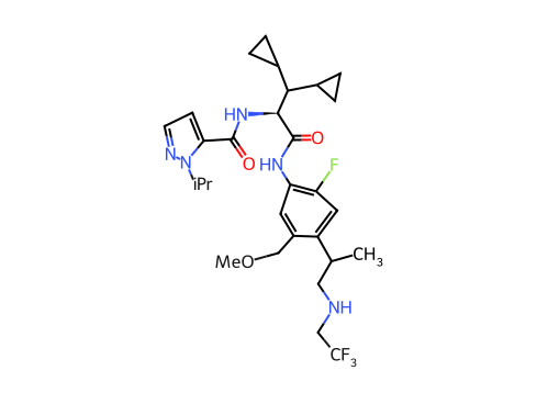 COCc1cc(NC(=O)[C@@H](NC(=O)c2ccnn2C(C)C)C(C2CC2)C2CC2)c(F)cc1C(C)CNCC(F)(F)F